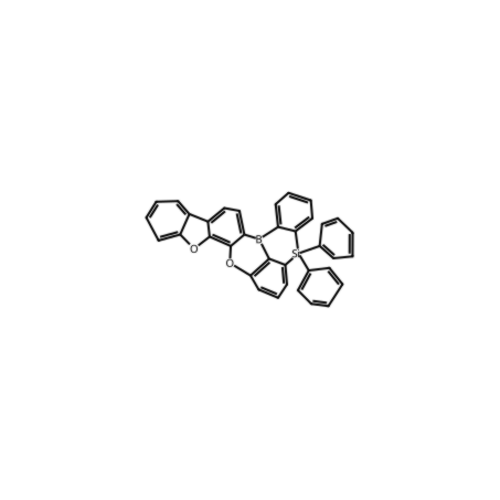 c1ccc([Si]2(c3ccccc3)c3ccccc3B3c4ccc5c(oc6ccccc65)c4Oc4cccc2c43)cc1